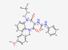 COc1ccc(CN2C(=O)C(NC(=O)Nc3ccccc3)C(=O)N(CCC(C)C)c3ccccc32)cc1